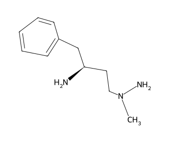 CN(N)CC[C@@H](N)Cc1ccccc1